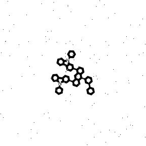 c1ccc(-c2cccc(-c3c4cccc(-c5ccc6c7ccccc7n(-c7ccccc7)c6c5)c4cc4c(-c5ccc6c7ccccc7n(-c7ccccc7)c6c5)cccc34)c2)cc1